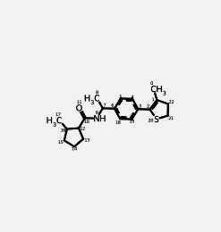 CC1=C(c2ccc(C(C)NC(=O)C3CCCC3C)cc2)SCC1